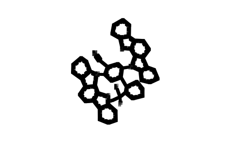 N#Cc1cc(-n2c3ccccc3c3ccc4c5ccccc5sc4c32)c(-c2ccccc2C(F)(F)F)cc1-n1c2ccccc2c2ccc3c4ccccc4sc3c21